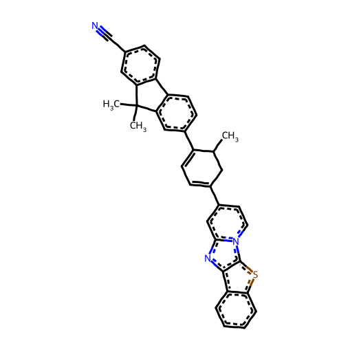 CC1CC(c2ccn3c(c2)nc2c4ccccc4sc23)=CC=C1c1ccc2c(c1)C(C)(C)c1cc(C#N)ccc1-2